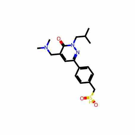 CC(C)Cn1nc(-c2ccc(C[SH](=O)=O)cc2)cc(CN(C)C)c1=O